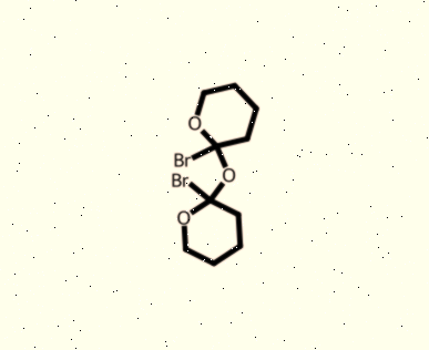 BrC1(OC2(Br)CCCCO2)CCCCO1